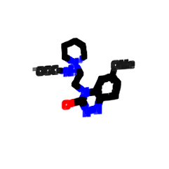 COc1ccc2nnc(=O)n(CC[N+]3(NC(=O)[O-])CCCCC3)c2c1